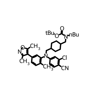 CCCCN(CC1CCC(CN(c2ccc(C#N)c(Cl)c2)c2cc(-c3c(C)noc3C)ccc2C)CC1)C(=O)OC(C)(C)C